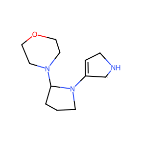 [CH]1NCC=C1N1CCCC1N1CCOCC1